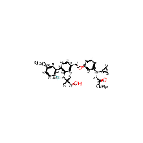 COC(=O)C[C@H](c1cccc(OCc2ccc(-c3cc(OC)ccc3F)c(CC(C)(C)CO)c2)c1)C1CC1